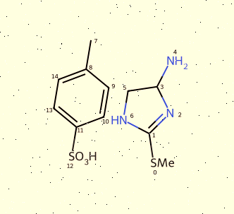 CSC1=NC(N)CN1.Cc1ccc(S(=O)(=O)O)cc1